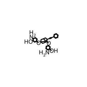 Nc1ccc(OC2C3CC4CC(Oc5ccc(N)c(O)c5)(C3)CC2(C#Cc2ccccc2)C4)cc1O